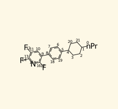 CCCC1CCC(c2ccc(-c3cc(F)c(F)nc3F)cc2)CC1